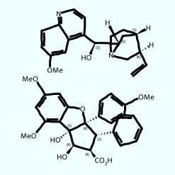 C=C[C@H]1CN2CC[C@H]1C[C@H]2[C@@H](O)c1ccnc2ccc(OC)cc12.COc1ccc([C@@]23Oc4cc(OC)cc(OC)c4[C@]2(O)[C@H](O)[C@H](C(=O)O)[C@H]3c2ccccc2)cc1